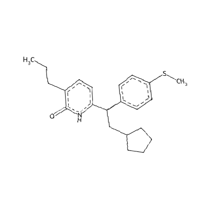 CCCc1ccc(C(CC2CCCC2)c2ccc(SC)cc2)[nH]c1=O